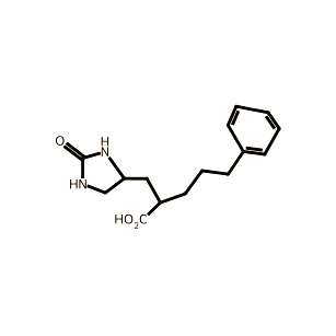 O=C1NCC(CC(CCCc2ccccc2)C(=O)O)N1